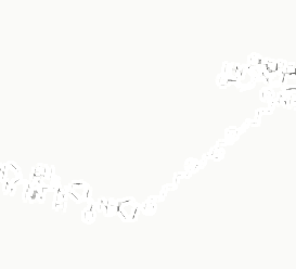 Cc1cccc(NC(=O)CCCCCOCCOCCOCCCCCCOc2ccc(CNC(=O)c3cccc(NCc4nnc(-c5ccncn5)n4C)c3)cc2)c1CN(C=O)C1CCC(=O)NC1=O